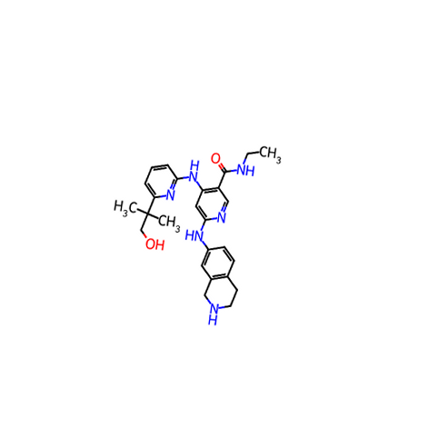 CCNC(=O)c1cnc(Nc2ccc3c(c2)CNCC3)cc1Nc1cccc(C(C)(C)CO)n1